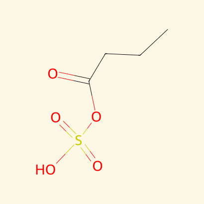 CCCC(=O)OS(=O)(=O)O